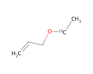 C=C[CH]O[13CH2]C